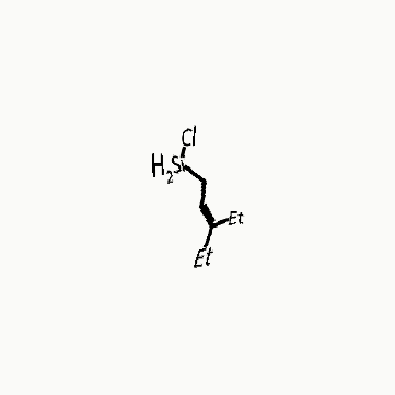 CCC(=CC[SiH2]Cl)CC